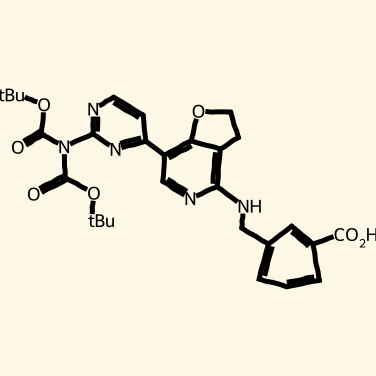 CC(C)(C)OC(=O)N(C(=O)OC(C)(C)C)c1nccc(-c2cnc(NCc3cccc(C(=O)O)c3)c3c2OCC3)n1